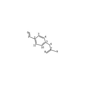 C=Cc1ccc(CC(=C)C)cc1